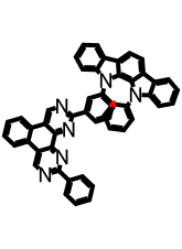 c1ccc(-c2ncc3c4ccccc4c4cnc(-c5cccc(-n6c7ccccc7c7ccc8c9ccccc9n(-c9ccccc9)c8c76)c5)nc4c3n2)cc1